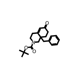 CC(C)(C)OC(=O)N1CCC2=CC(=O)CCC2(Cc2ccccc2)C1